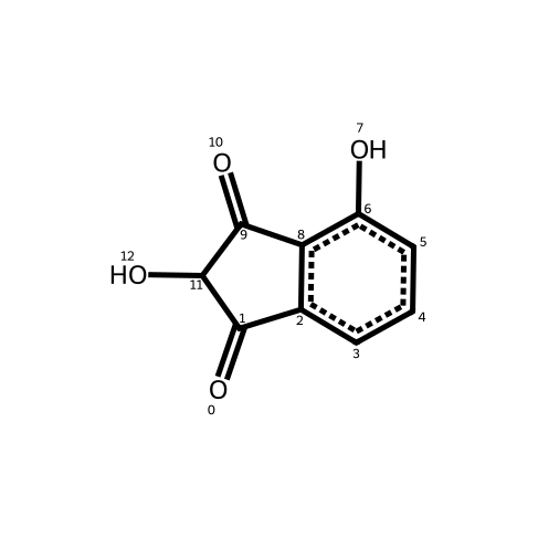 O=C1c2cccc(O)c2C(=O)C1O